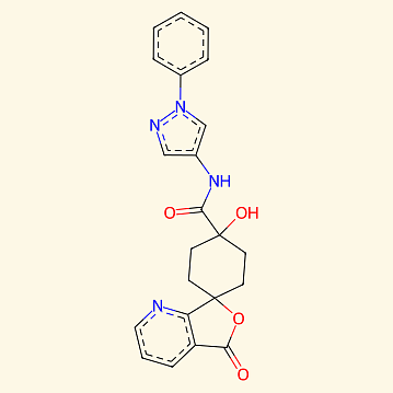 O=C1OC2(CCC(O)(C(=O)Nc3cnn(-c4ccccc4)c3)CC2)c2ncccc21